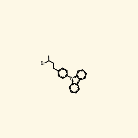 CC(Br)CCc1ccc(-n2c3ccccc3c3ccccc32)cc1